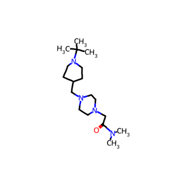 CN(C)C(=O)CN1CCN(CC2CCN(C(C)(C)C)CC2)CC1